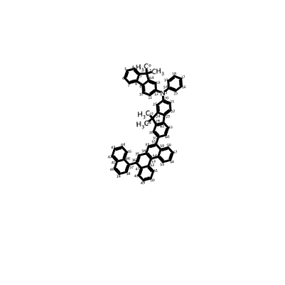 CC1(C)c2ccccc2-c2ccc(N(c3ccccc3)c3ccc4c(c3)C(C)(C)c3cc(-c5cc6cc(-c7cccc8ccccc78)c7ccccc7c6c6ccccc56)ccc3-4)cc21